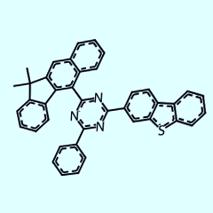 CC1(C)c2ccccc2-c2c1cc1ccccc1c2-c1nc(-c2ccccc2)nc(-c2ccc3c(c2)sc2ccccc23)n1